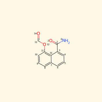 NC(=O)c1cccc2cccc(OC=O)c12